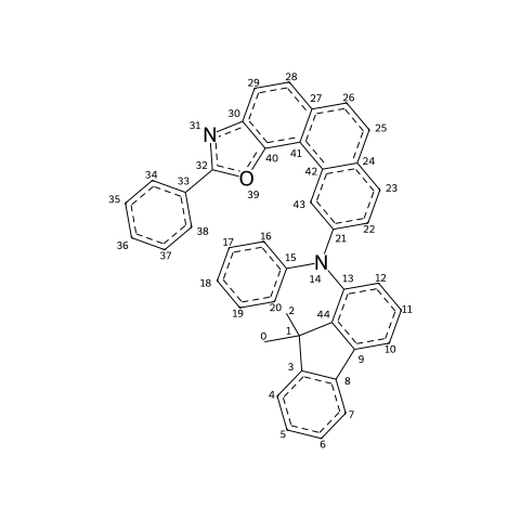 CC1(C)c2ccccc2-c2cccc(N(c3ccccc3)c3ccc4ccc5ccc6nc(-c7ccccc7)oc6c5c4c3)c21